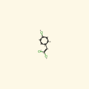 ClC(Cl)=Cc1ccc(Cl)cc1